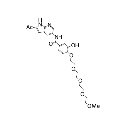 COCCOCCOCCOCCOc1ccc(C(=O)Nc2cnc3[nH]c(C(C)=O)cc3c2)cc1O